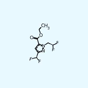 CCOC(=O)c1cc(C(F)F)nn1CC(F)F